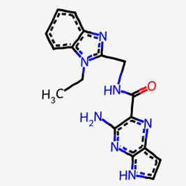 CCn1c(CNC(=O)c2nc3cc[nH]c3nc2N)nc2ccccc21